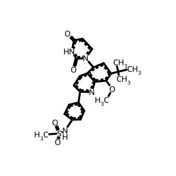 COc1c(C(C)(C)C)cc(-n2ccc(=O)[nH]c2=O)c2ccc(-c3ccc(NS(C)(=O)=O)cc3)nc12